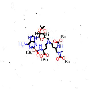 CN(CC(CCN(CCC(NC(=O)OC(C)(C)C)C(=O)OC(C)(C)C)C[C@H]1O[C@@H](n2cnc3c(N)ncnc32)[C@@H]2OC(C)(C)O[C@@H]21)NC(=O)OC(C)(C)C)C(=O)OC(C)(C)C